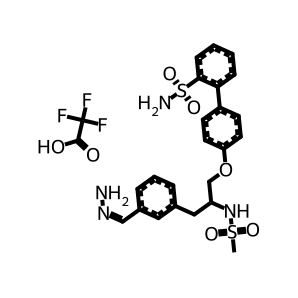 CS(=O)(=O)NC(COc1ccc(-c2ccccc2S(N)(=O)=O)cc1)Cc1cccc(/C=N\N)c1.O=C(O)C(F)(F)F